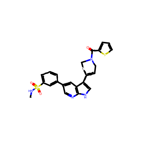 CNS(=O)(=O)c1cccc(-c2cnc3[nH]cc(C4=CCN(C(=O)c5cccs5)CC4)c3c2)c1